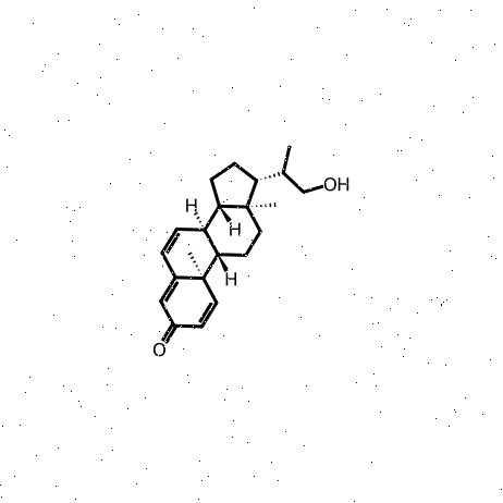 CC(CO)[C@H]1CC[C@H]2[C@@H]3C=CC4=CC(=O)C=C[C@]4(C)[C@H]3CC[C@]12C